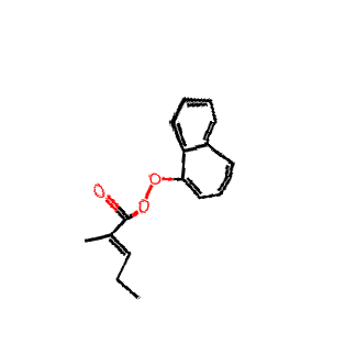 CCC=C(C)C(=O)OOc1cccc2ccccc12